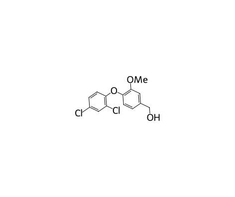 COc1cc(CO)ccc1Oc1ccc(Cl)cc1Cl